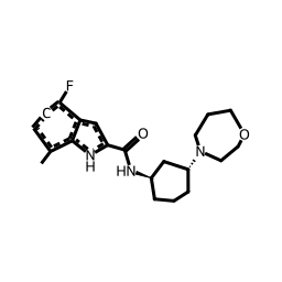 Cc1ccc(F)c2cc(C(=O)N[C@@H]3CCC[C@@H](N4CCCOCC4)C3)[nH]c12